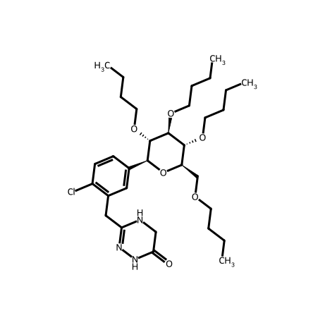 CCCCOC[C@H]1O[C@@H](c2ccc(Cl)c(CC3=NNC(=O)CN3)c2)[C@H](OCCCC)[C@@H](OCCCC)[C@@H]1OCCCC